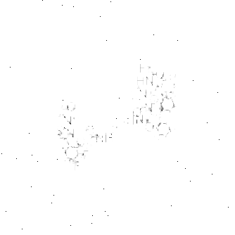 C[CH]C(=O)N[C@H](C(=O)N1CCC[C@H]1C(=O)N[C@H](C(=O)NCCCCCCNC(=O)COc1c(-c2csc(N3CCOCC3)n2)ccc(F)c1F)C(c1ccccc1)c1ccccc1)C1CCCCC1